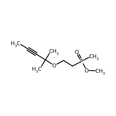 CC#CC(C)(C)OCCP(C)(=O)OC